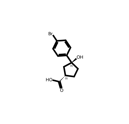 O=C(O)[C@H]1CC[C@@](O)(c2ccc(Br)cc2)C1